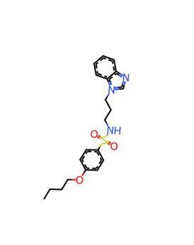 CCCCOc1ccc(S(=O)(=O)NCCCn2cnc3ccccc32)cc1